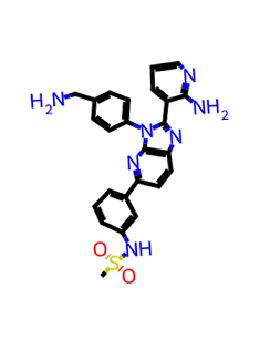 CS(=O)(=O)Nc1cccc(-c2ccc3nc(-c4cccnc4N)n(-c4ccc(CN)cc4)c3n2)c1